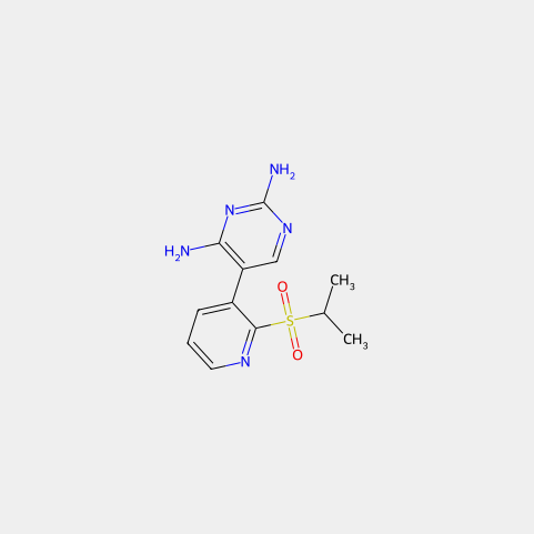 CC(C)S(=O)(=O)c1ncccc1-c1cnc(N)nc1N